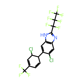 FC(F)(F)C1=CC(Cl)C(c2cc3[nH]c(C(F)(F)C(F)(F)C(F)(F)F)nc3cc2Cl)C=C1